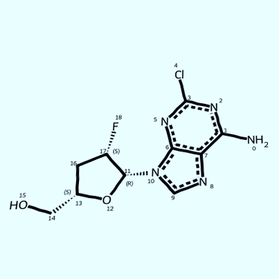 Nc1nc(Cl)nc2c1ncn2[C@@H]1O[C@H](CO)C[C@@H]1F